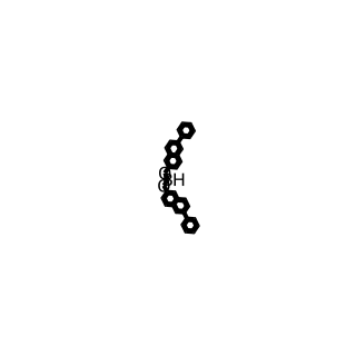 B(Oc1ccc2cc(-c3ccccc3)ccc2c1)Oc1ccc2cc(-c3ccccc3)ccc2c1